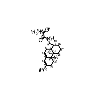 CC(C)C1=CC2=CCC3[C@@](C)(CNC(=O)C(N)=O)CCC[C@]3(C)[C@@H]2CC1